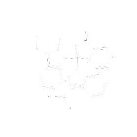 CCCC(N)n1cc(C2(c3c(C)n(C(N)CCC)c4ccccc34)CC(=O)c3ncccc32)c2ccccc21